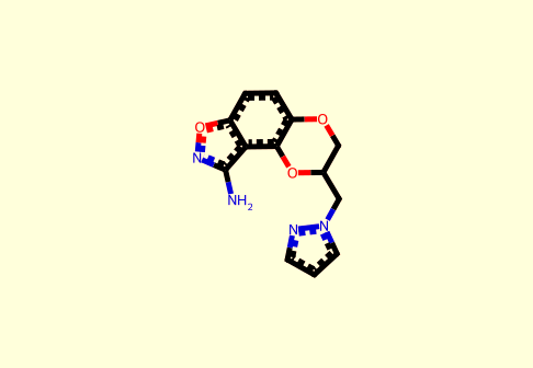 Nc1noc2ccc3c(c12)OC(Cn1cccn1)CO3